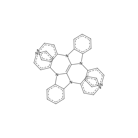 c1ccc2c(c1)N(c1ccncc1)C(=C1N(c3ccncc3)c3ccccc3N1c1ccncc1)N2c1ccncc1